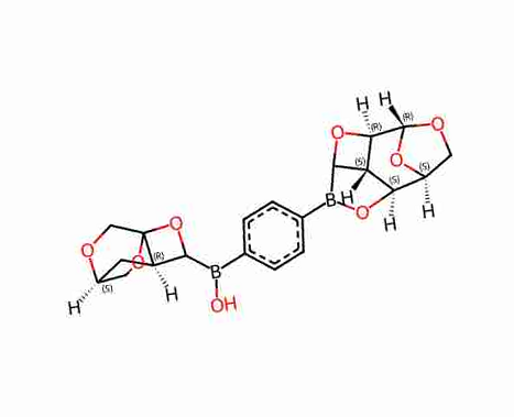 OB(c1ccc(B2O[C@H]3[C@@H]4C2O[C@H]4[C@@H]2OC[C@@H]3O2)cc1)C1OC23CO[C@H](CO2)C[C@H]13